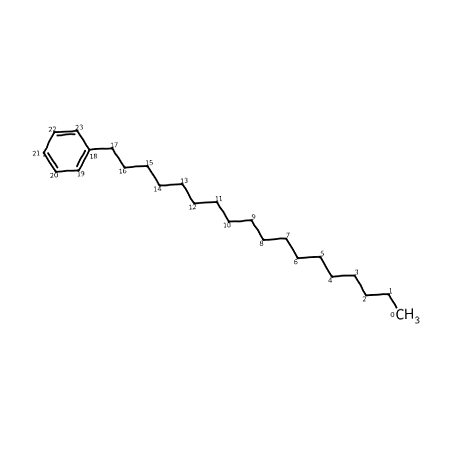 CCCCCCCCCCCCCCCCCCc1cc[c]cc1